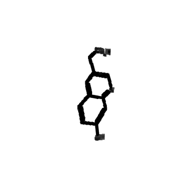 O=C(O)Cc1cnc2cc(O)ccc2c1